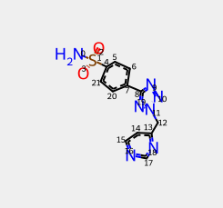 NS(=O)(=O)c1ccc(-c2nnn(Cc3ccncn3)n2)cc1